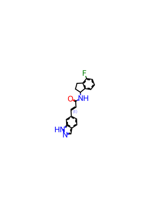 O=C(/C=C/c1ccc2cn[nH]c2c1)NC1CCc2c(F)cccc21